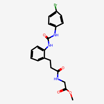 COC(=O)CNC(=O)CCc1ccccc1NC(=O)Nc1ccc(Br)cc1